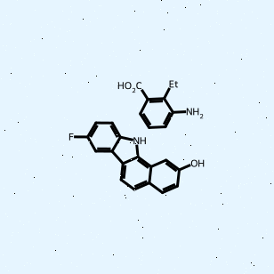 CCc1c(N)cccc1C(=O)O.Oc1ccc2ccc3c4cc(F)ccc4[nH]c3c2c1